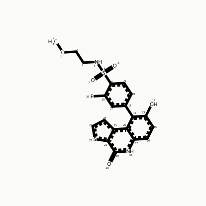 COCCNS(=O)(=O)c1ccc(-c2c(O)ccc3[nH]c(=O)c4sccc4c23)cc1F